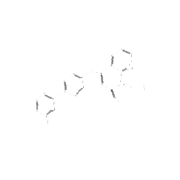 CCc1cccc(-c2ccc(Cc3cc(=O)n(O)c4ncccc34)cc2)c1